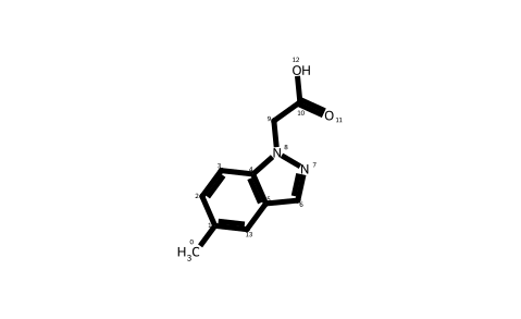 Cc1ccc2c(cnn2CC(=O)O)c1